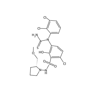 COC[C@H]1CCCN1NS(=O)(=O)c1c(Cl)ccc(N(C(N)=S)c2cccc(Cl)c2Cl)c1O